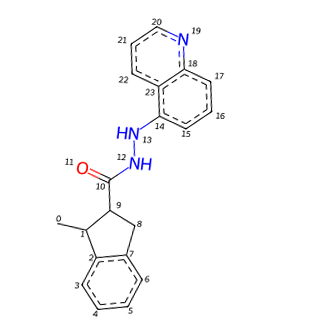 CC1c2ccccc2CC1C(=O)NNc1cccc2ncccc12